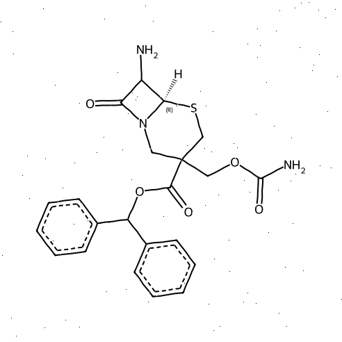 NC(=O)OCC1(C(=O)OC(c2ccccc2)c2ccccc2)CS[C@@H]2C(N)C(=O)N2C1